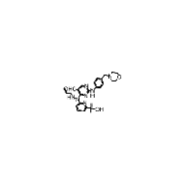 C=CCNN(c1cccc(C(C)(C)O)n1)c1nc(Nc2ccc(CN3CCOCC3)cc2)ncc1C=O